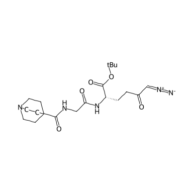 CC(C)(C)OC(=O)[C@H](CCC(=O)C=[N+]=[N-])NC(=O)CNC(=O)C12CCN(CC1)CC2